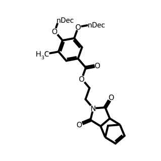 CCCCCCCCCCOc1cc(C(=O)OCCN2C(=O)C3C4C=CC(C4)C3C2=O)cc(C)c1OCCCCCCCCCC